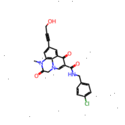 CN1C(=O)Cn2cc(C(=O)NCc3ccc(Cl)cc3)c(=O)c3cc(C#CCO)cc1c32